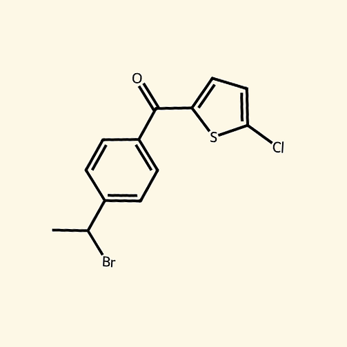 CC(Br)c1ccc(C(=O)c2ccc(Cl)s2)cc1